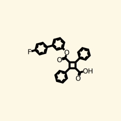 O=C(O)C1C(c2ccccc2)C(C(=O)Oc2cccc(-c3ccc(F)cc3)c2)C1c1ccccc1